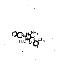 Cn1c(N2CCC3(CCCC3)CC2)nc(N)c(Sc2ccncc2C(F)(F)F)c1=O